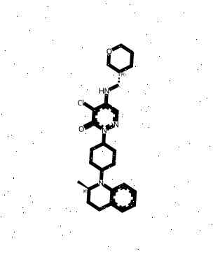 C[C@@H]1CCc2ccccc2N1C1CCC(n2ncc(NC[C@H]3CCCOC3)c(Cl)c2=O)CC1